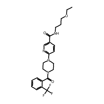 CCOCCCNC(=O)c1ccc(N2CCN(C(=O)c3ccccc3C(F)(F)F)CC2)nc1